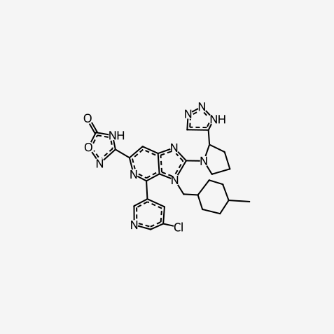 CC1CCC(Cn2c(N3CCCC3c3cnn[nH]3)nc3cc(-c4noc(=O)[nH]4)nc(-c4cncc(Cl)c4)c32)CC1